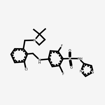 CC1(C)CCN1Cc1cccc(Cl)c1CNc1cc(F)c(S(=O)(=O)Nc2cscn2)c(F)c1